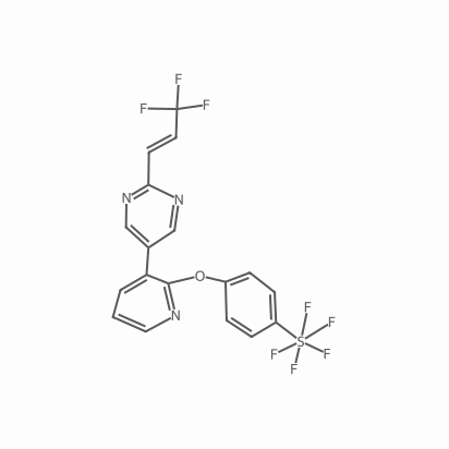 FC(F)(F)/C=C/c1ncc(-c2cccnc2Oc2ccc(S(F)(F)(F)(F)F)cc2)cn1